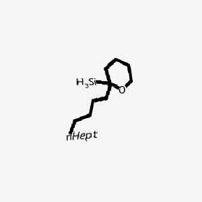 CCCCCCCCCCCC1([SiH3])CCCCO1